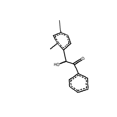 Cc1ccc(C(O)C(=O)c2ccccc2)c(C)c1